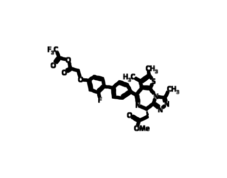 COC(=O)C[C@@H]1N=C(c2ccc(-c3ccc(OCC(=O)OC(=O)C(F)(F)F)cc3F)cc2)c2c(sc(C)c2C)-n2c(C)nnc21